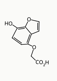 O=C(O)COc1ccc(O)c2occc12